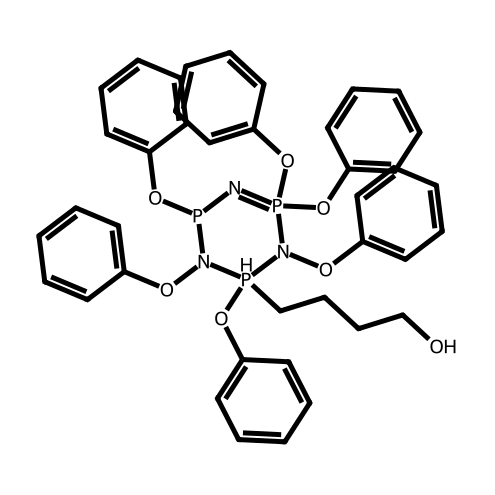 OCCCC[PH]1(Oc2ccccc2)N(Oc2ccccc2)P(Oc2ccccc2)N=P(Oc2ccccc2)(Oc2ccccc2)N1Oc1ccccc1